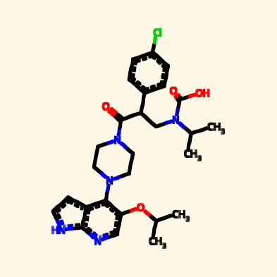 CC(C)Oc1cnc2[nH]ccc2c1N1CCN(C(=O)C(CN(C(=O)O)C(C)C)c2ccc(Cl)cc2)CC1